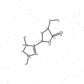 CCC1CC(C2=CN(C)CN2C)OC1=O